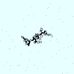 CON=C(C(=O)N[C@@H]1C(=O)N2C(C(=O)O)=C(CSc3cc(C)nc4nc(C#N)nn34)CS[C@H]12)c1csc(N)n1